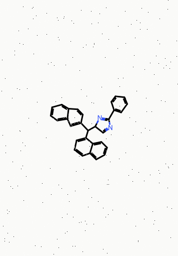 C1=NC(c2ccccc2)=NC1C(c1ccc2ccccc2c1)c1cccc2ccccc12